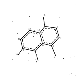 [CH2]c1ccc(C)c2c(C)c(C)ccc12